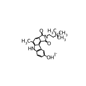 Cc1cc2c(c3c1[nH]c1ccc(O)cc13)C(=O)N(CC[N+](C)(C)C)C2=O.[I-]